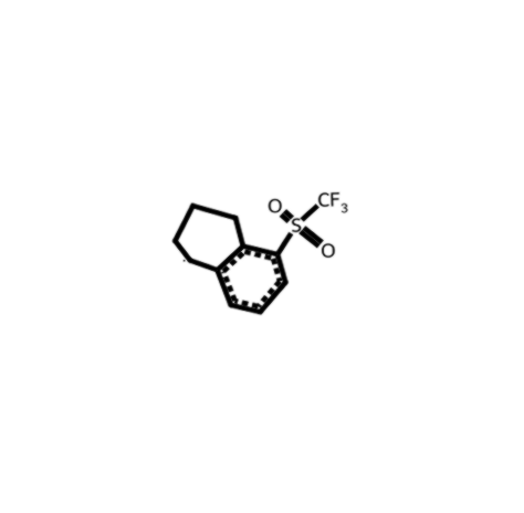 O=S(=O)(c1cccc2c1CCC[CH]2)C(F)(F)F